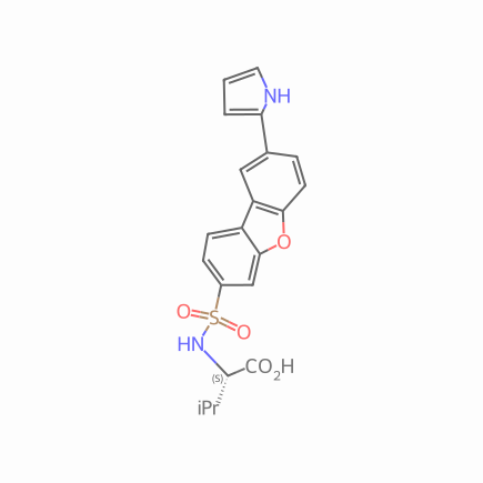 CC(C)[C@H](NS(=O)(=O)c1ccc2c(c1)oc1ccc(-c3ccc[nH]3)cc12)C(=O)O